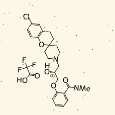 CNC(=O)c1ccccc1OC[C@@H](O)CN1CCC2(CCc3cc(Cl)ccc3O2)CC1.O=C(O)C(F)(F)F